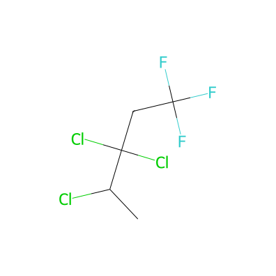 CC(Cl)C(Cl)(Cl)CC(F)(F)F